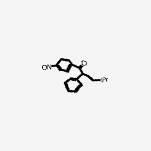 CC(C)CCC(C(=O)c1ccc(N=O)cc1)c1ccccc1